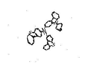 c1ccc(-n2c3ccccc3c3ccc(N(c4ccc5sc6ccccc6c5c4)c4ccc5sc6ccccc6c5c4)cc32)cc1